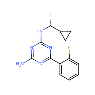 C[C@@H](Nc1nc(N)nc(-c2ccccc2F)n1)C1CC1